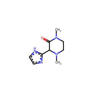 CN1CCN(C)C(c2ncc[nH]2)C1=O